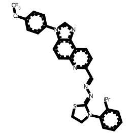 CC(C)c1ccccc1N1CCSC1=NN=Cc1ccc2c(ccc3c2ncn3-c2ccc(OC(F)(F)F)cc2)n1